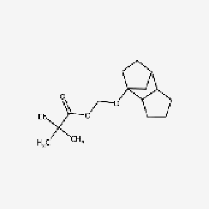 CCC(C)(C)C(=O)OCOC12CCC(C1)C1CCCC12